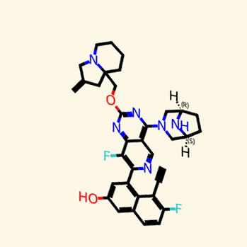 C#Cc1c(F)ccc2cc(O)cc(-c3ncc4c(N5C[C@H]6CC[C@@H](C5)N6)nc(OCC56CCCCN5CC(=C)C6)nc4c3F)c12